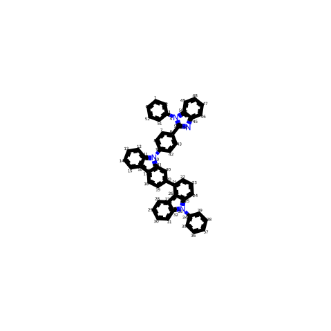 c1ccc(-n2c(-c3ccc(-n4c5ccccc5c5ccc(-c6cccc7c6c6ccccc6n7-c6ccccc6)cc54)cc3)nc3ccccc32)cc1